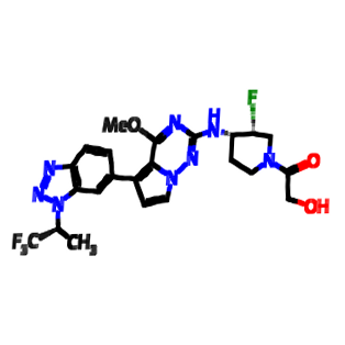 COc1nc(N[C@H]2CCN(C(=O)CO)C[C@H]2F)nn2ccc(-c3ccc4nnn([C@@H](C)C(F)(F)F)c4c3)c12